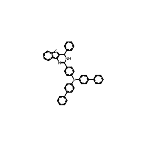 c1ccc(-c2ccc(N(c3ccc(C4=Nc5c(sc6ccccc56)C(c5ccccc5)N4)cc3)c3ccc(-c4ccccc4)cc3)cc2)cc1